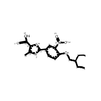 CCC(CC)COc1ccc(-c2nc(C)c(C(=O)O)s2)cc1[N+](=O)[O-]